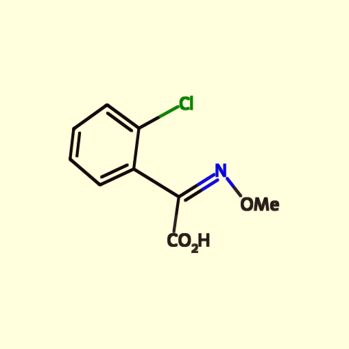 CON=C(C(=O)O)c1ccccc1Cl